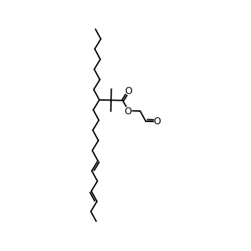 CCC=CCC=CCCCCCC(CCCCCCC)C(C)(C)C(=O)OCC=O